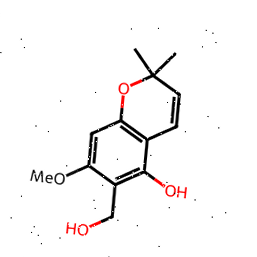 COc1cc2c(c(O)c1CO)C=CC(C)(C)O2